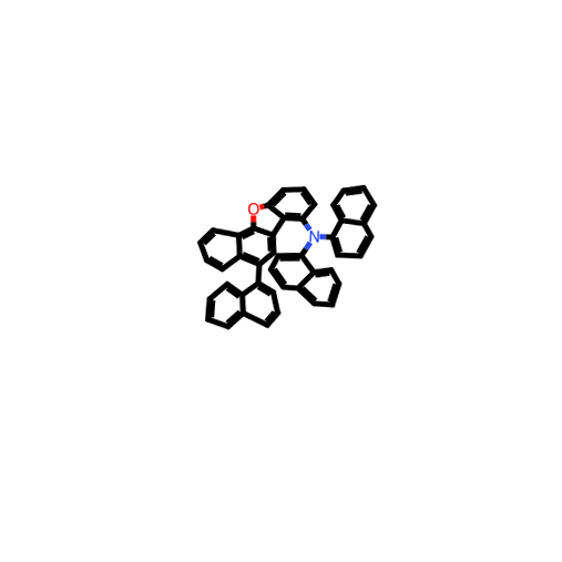 c1ccc2c(-c3cc4c(oc5cccc(N(c6cccc7ccccc67)c6cccc7ccccc67)c54)c4ccccc34)cccc2c1